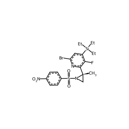 CC[Si](CC)(CC)c1cc(Br)nc([C@]2(C)CN2S(=O)(=O)c2ccc([N+](=O)[O-])cc2)c1F